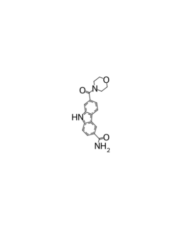 NC(=O)c1ccc2[nH]c3cc(C(=O)N4CCOCC4)ccc3c2c1